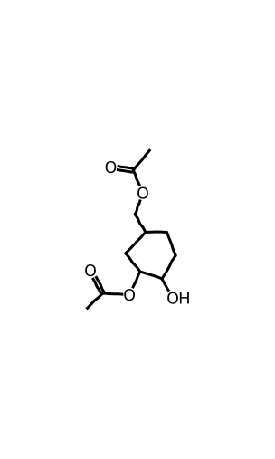 CC(=O)OCC1CCC(O)C(OC(C)=O)C1